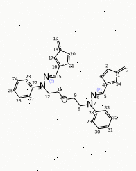 C=C1C=CC(/C=N/N(CCOCCN(/N=C/C2=CC(=C)C=C2)c2ccccc2)c2ccccc2)=C1